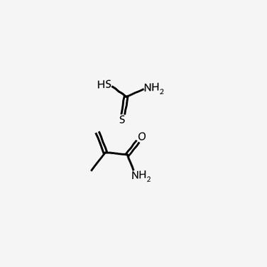 C=C(C)C(N)=O.NC(=S)S